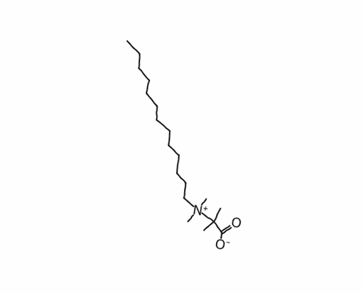 CCCCCCCCCCCCC[N+](C)(C)C(C)(C)C(=O)[O-]